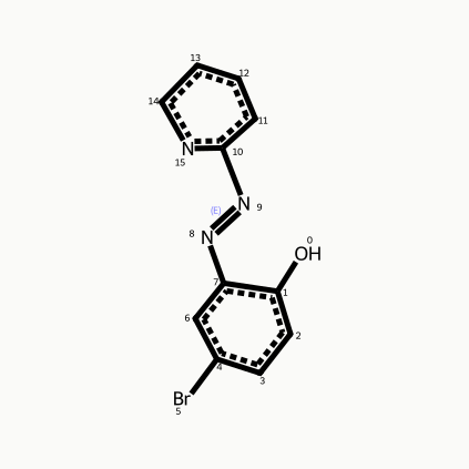 Oc1ccc(Br)cc1/N=N/c1ccccn1